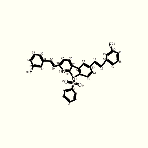 O=S(=O)(c1ccccc1)n1c2ccc(C=Cc3cccc(F)c3)cc2c2ccc(C=Cc3cccc(F)c3)nc21